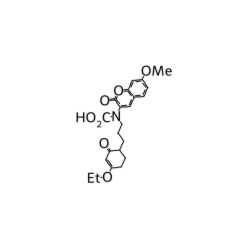 CCOC1=CC(=O)C(CCCN(C(=O)O)c2cc3ccc(OC)cc3oc2=O)CC1